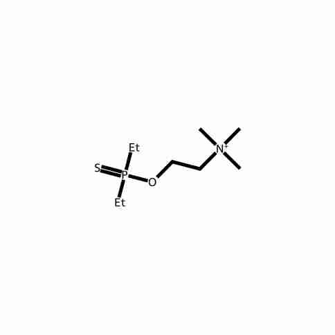 CCP(=S)(CC)OCC[N+](C)(C)C